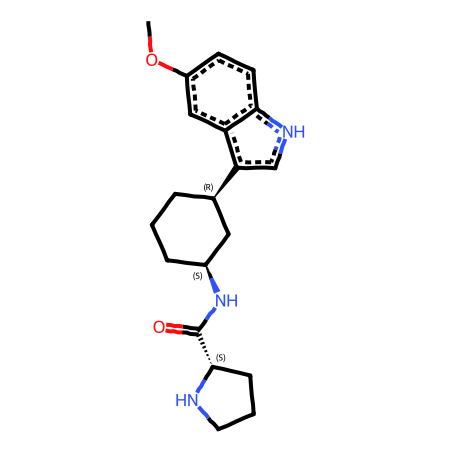 COc1ccc2[nH]cc([C@@H]3CCC[C@H](NC(=O)[C@@H]4CCCN4)C3)c2c1